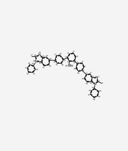 Cc1nc2cc(-c3ccc(-c4cccc(-c5ccc(-c6ccc7c(c6)nc(C)n7-c6ccccc6)cc5)c4C(C)(C)C)cc3)ccc2n1-c1ccccc1